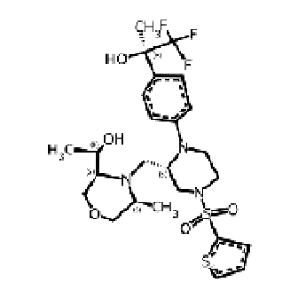 C[C@@H](O)[C@@H]1COC[C@H](C)N1C[C@H]1CN(S(=O)(=O)c2cccs2)CCN1c1ccc([C@@](C)(O)C(F)(F)F)cc1